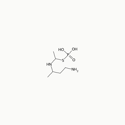 CC(CCN)NC(C)SP(=O)(O)O